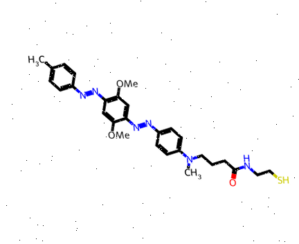 COc1cc(/N=N/c2ccc(N(C)CCCC(=O)NCCS)cc2)c(OC)cc1/N=N/c1ccc(C)cc1